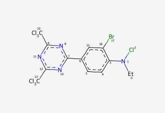 CCN(Cl)c1ccc(-c2nc(C(Cl)(Cl)Cl)nc(C(Cl)(Cl)Cl)n2)cc1Br